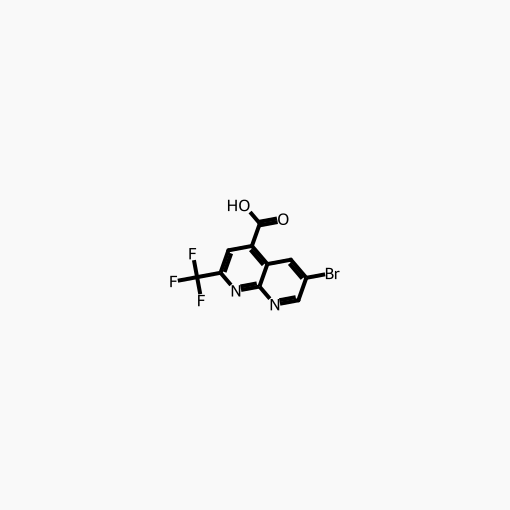 O=C(O)c1cc(C(F)(F)F)nc2ncc(Br)cc12